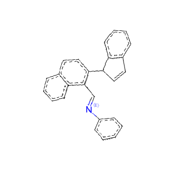 C1=CC(c2ccc3ccccc3c2/C=N/c2ccccc2)c2ccccc21